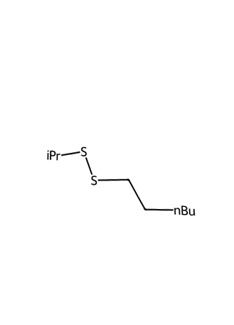 CCCCCCSSC(C)C